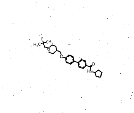 CC(C)(F)CN1CCC(COc2ccc(-c3ccc(C(=O)NC4CCCC4)cc3)cc2)CC1